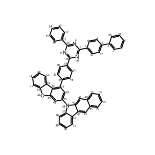 c1ccc(-c2ccc(-c3nc(-c4ccccc4)nc(-c4ccc(-c5cc(-n6c7ccccc7c7cc8ccccc8cc76)cc6oc7ccccc7c56)cc4)n3)cc2)cc1